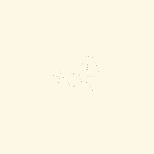 COCOc1ccc(C(C)(C)C)cc1C12CC3CC(CC(C3)C1)C2